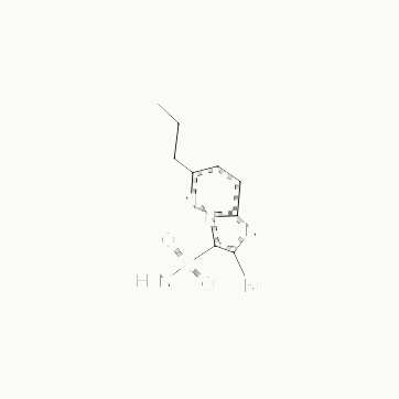 CCCc1ccc2nc(Br)c(S(N)(=O)=O)n2n1